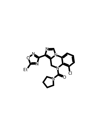 CCc1nc(-c2ncn3c2CN(C(=O)N2CCCC2)c2c(Cl)cccc2-3)no1